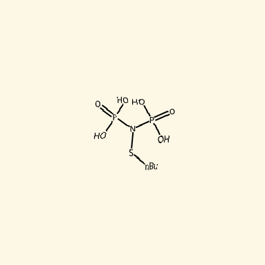 CCCCSN(P(=O)(O)O)P(=O)(O)O